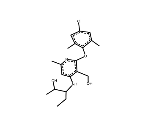 CCC(Nc1cc(C)nc(Oc2c(C)cc(Cl)cc2C)c1CO)C(C)O